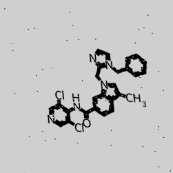 Cc1cn(Cc2nccn2Cc2ccccc2)c2cc(C(=O)Nc3c(Cl)cncc3Cl)ccc12